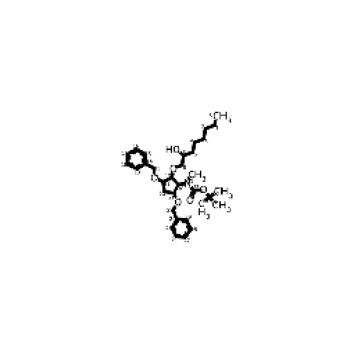 CCCCCCC(O)COC1C(OCc2ccccc2)CC(OCc2ccccc2)C1N(C)C(=O)OC(C)(C)C